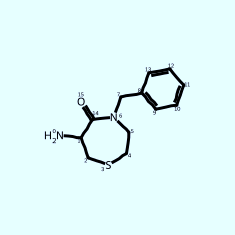 NC1CSCCN(Cc2ccccc2)C1=O